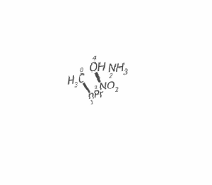 CCCC.N.O=[N+]([O-])O